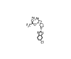 NC1CC2(CCN(c3nc4ccc(Cl)cc4o3)C2)C1OC(=O)C(F)(F)F